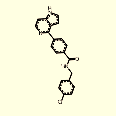 O=C(NCc1ccc(Cl)cc1)c1ccc(-c2nccc3[nH]ccc23)cc1